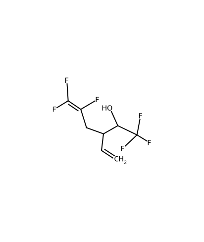 C=CC(CC(F)=C(F)F)C(O)C(F)(F)F